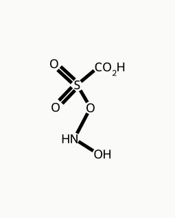 O=C(O)S(=O)(=O)ONO